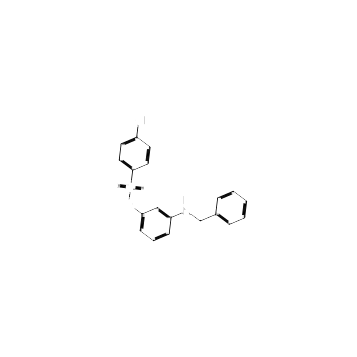 Cc1ccc(S(=O)(=O)Oc2cc[c]c(NCc3ccccc3)c2)cc1